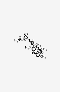 CSCCN(C)C(=O)O[C@@H](C)/C=C\C(=O)N[C@@H]1C[C@H](C)[C@H](C/C=C(C)/C=C/[C@@H]2C[C@]3(CO3)C[C@@H](CC(N)=O)O2)O[C@@H]1C